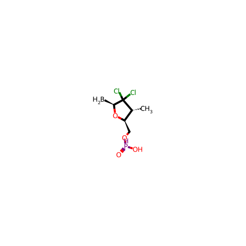 B[C@@H]1O[C@H](CO[PH](=O)O)[C@@H](C)C1(Cl)Cl